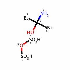 CCC(C)C(N)(O)CC.O=S(=O)(O)OS(=O)(=O)O